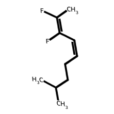 C/C(F)=C(F)\C=C/CCC(C)C